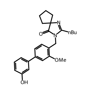 CCCCC1=NC2(CCCC2)C(=O)N1Cc1ccc(-c2cccc(O)c2)cc1OC